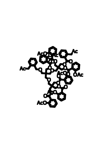 CC(=O)Cc1ccccc1COCC(COCC(COC(=O)c1ccccc1CC(C)=O)(COC(=O)c1ccccc1OC(C)=O)COC(=O)c1ccccc1OC(C)=O)(COCC(COC(=O)c1ccccc1OC(C)=O)(COC(=O)c1ccccc1OC(C)=O)COC(=O)c1ccccc1OC(C)=O)COC(=O)c1ccccc1OC(C)=O